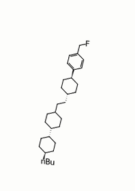 CCCC[C@H]1CC[C@H](C2CCC(CC[C@H]3CC[C@H](c4ccc(CF)cc4)CC3)CC2)CC1